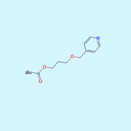 CCC(C)C(=O)OCCCOCc1ccncc1